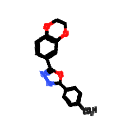 O=C(O)c1ccc(-c2nnc(-c3ccc4c(c3)OCCO4)o2)cc1